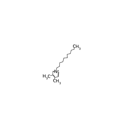 CCCCCCCCCCC[n+]1ccc(C)c(C)c1